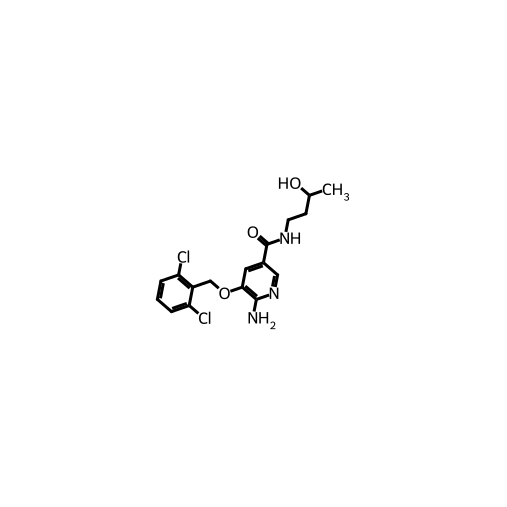 CC(O)CCNC(=O)c1cnc(N)c(OCc2c(Cl)cccc2Cl)c1